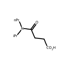 [CH2-][CH+]CN(C(=O)CCC(=O)O)C(C)C